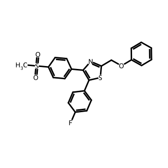 CS(=O)(=O)c1ccc(-c2nc(COc3ccccc3)sc2-c2ccc(F)cc2)cc1